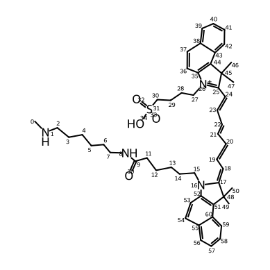 CNCCCCCCNC(=O)CCCCCN1\C(=C/C=C/C=C/C=C/C2=[N+](CCCCS(=O)(=O)O)c3ccc4ccccc4c3C2(C)C)C(C)(C)c2c1ccc1ccccc21